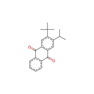 CC(C)c1cc2c(cc1C(C)(C)C)C(=O)c1ccccc1C2=O